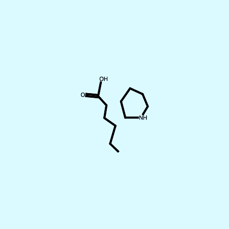 C1CCNCC1.CCCCCC(=O)O